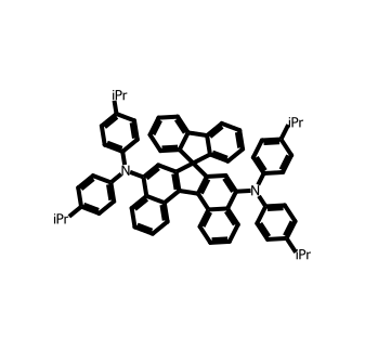 CC(C)c1ccc(N(c2ccc(C(C)C)cc2)c2cc3c(c4ccccc24)-c2c(cc(N(c4ccc(C(C)C)cc4)c4ccc(C(C)C)cc4)c4ccccc24)C32c3ccccc3-c3ccccc32)cc1